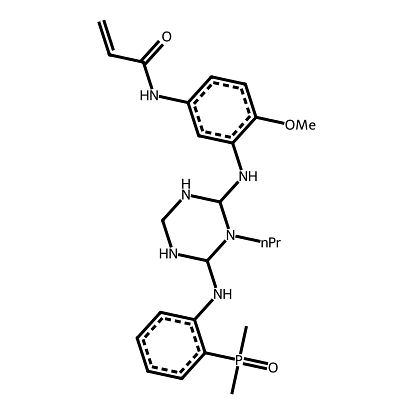 C=CC(=O)Nc1ccc(OC)c(NC2NCNC(Nc3ccccc3P(C)(C)=O)N2CCC)c1